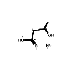 CC(O)CC(=O)O.[Na]